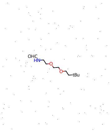 CC(C)(C)CCOCCOCCNC=O